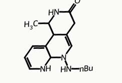 CCCCNN1C=C2CC(=O)NC(C)C2C2=CC=CNC21